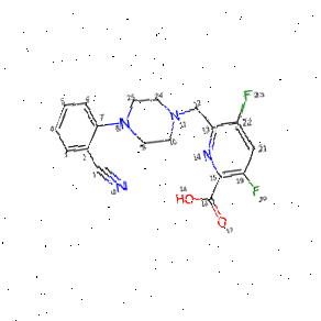 N#Cc1ccccc1N1CCN(Cc2nc(C(=O)O)c(F)cc2F)CC1